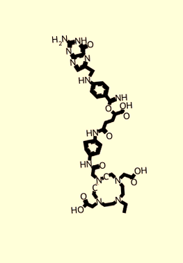 CCN1CCN(CC(=O)O)CCN(CC(=O)Nc2ccc(NC(=O)CCC(OC(=N)c3ccc(NCc4cnc5nc(N)[nH]c(=O)c5n4)cc3)C(=O)O)cc2)CCN(CC(=O)O)CC1